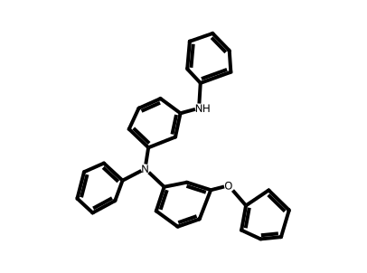 c1ccc(Nc2cccc(N(c3ccccc3)c3cccc(Oc4ccccc4)c3)c2)cc1